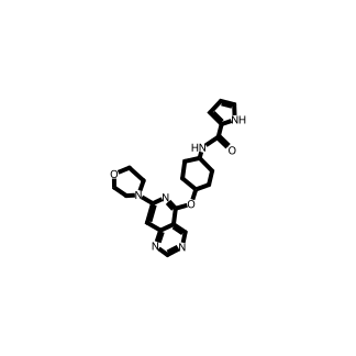 O=C(NC1CCC(Oc2nc(N3CCOCC3)cc3ncncc23)CC1)c1ccc[nH]1